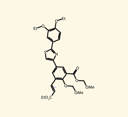 CCOC(=O)/C=C/c1cc(-c2csc(-c3ccc(OCC)c(OCC)c3)n2)cc(C(=O)OCOC)c1OCOC